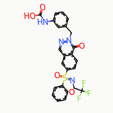 O=C(O)Nc1cccc(Cn2ncc3cc(S(=O)(=NC(=O)C(F)(F)F)c4ccccc4)ccc3c2=O)c1